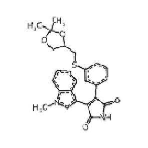 Cn1cc(C2=C(c3cccc(SCC4COC(C)(C)O4)c3)C(=O)NC2=O)c2ccccc21